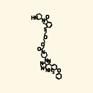 Nc1ncnc2c1c(-c1ccc(Oc3ccccc3)cc1)nn2C1CCN(C(=O)COCCOCCSc2cccc3c2CN(C2CCCNC2)C3=O)CC1